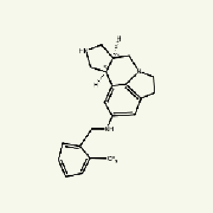 FC(F)(F)c1ccccc1CNc1cc2c3c(c1)[C@H]1CNC[C@H]1CN3CC2